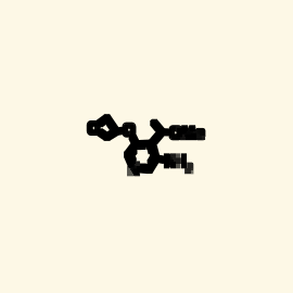 COC(C)c1c(N)cncc1OC1COC1